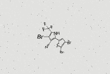 N#Cc1c(-c2cc(Br)c(Br)s2)[nH]c(C(F)(F)F)c1Br